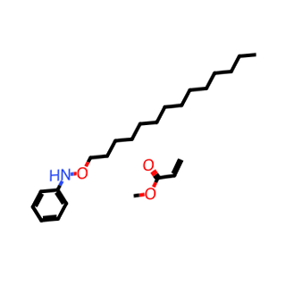 C=CC(=O)OC.CCCCCCCCCCCCCCONc1ccccc1